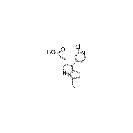 CCc1ccc2c(-c3ccnc(Cl)c3)c(/C=C/C(=O)O)c(C)nn12